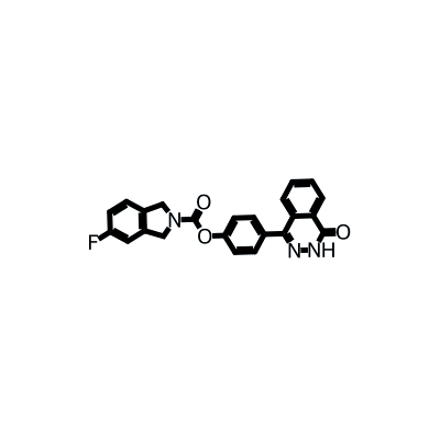 O=C(Oc1ccc(-c2n[nH]c(=O)c3ccccc23)cc1)N1Cc2ccc(F)cc2C1